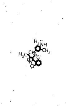 CNc1ccc(OCc2c(-c3c(Cl)cccc3Cl)noc2C(C)C)cc1C